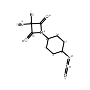 CCCCC1(CC)C(=O)N(C2CCC(N=C=O)CC2)C1=O